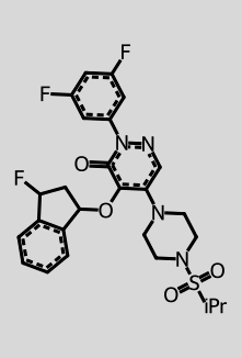 CC(C)S(=O)(=O)N1CCN(c2cnn(-c3cc(F)cc(F)c3)c(=O)c2OC2CC(F)c3ccccc32)CC1